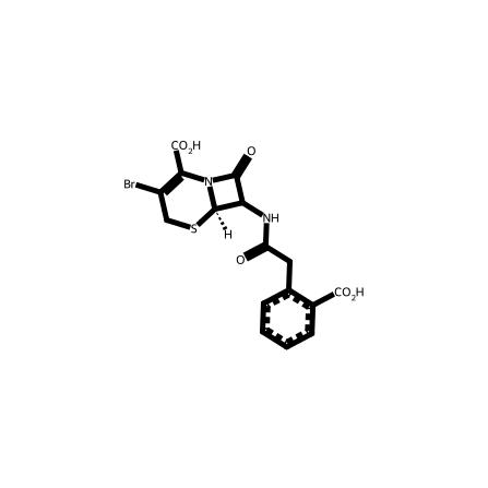 O=C(Cc1ccccc1C(=O)O)NC1C(=O)N2C(C(=O)O)=C(Br)CS[C@H]12